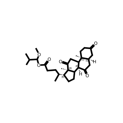 COC(OC(=O)CCC(C)[C@H]1CCC2[C@@H]3C(=O)C[C@@H]4CC(=O)CC[C@]4(C)C3CC(=O)[C@@]21C)C(C)C